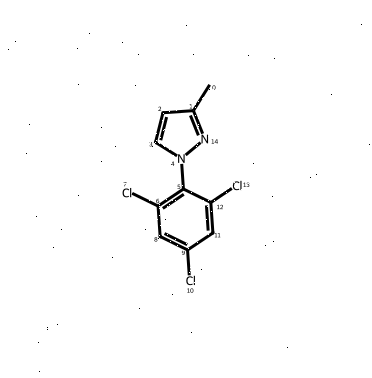 Cc1ccn(-c2c(Cl)cc(Cl)cc2Cl)n1